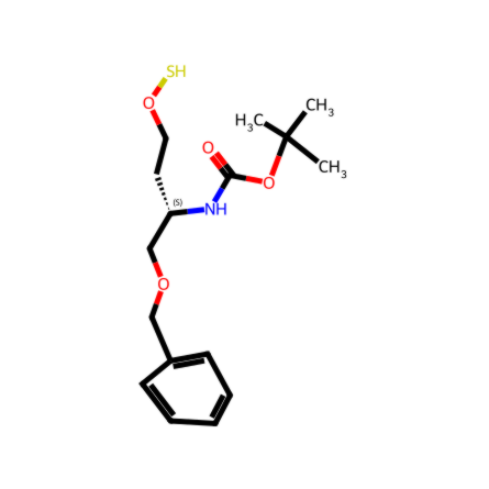 CC(C)(C)OC(=O)N[C@@H](CCOS)COCc1ccccc1